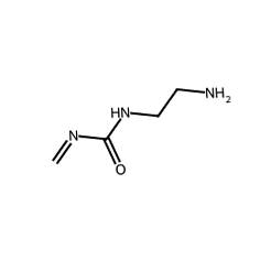 C=NC(=O)NCCN